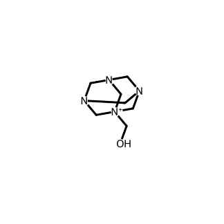 OC[N+]12CN3CN(CN(C3)C1)C2